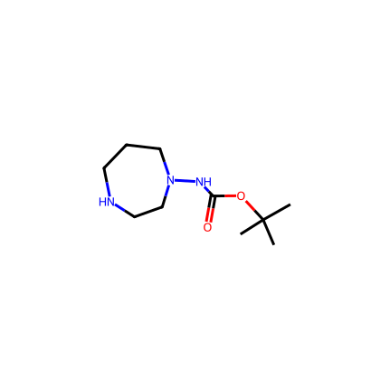 CC(C)(C)OC(=O)NN1CCCNCC1